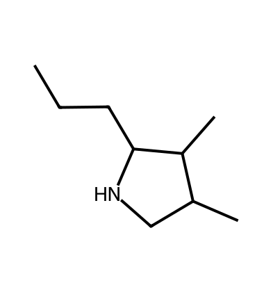 CCCC1NCC(C)C1C